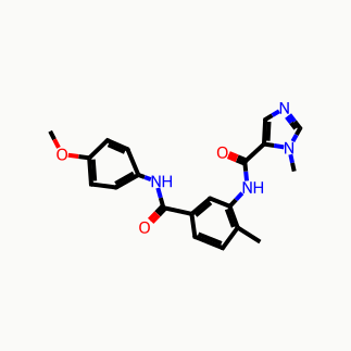 COc1ccc(NC(=O)c2ccc(C)c(NC(=O)c3cncn3C)c2)cc1